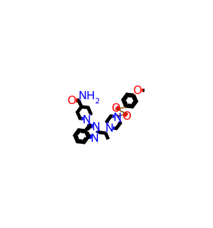 COc1ccc(S(=O)(=O)N2CCN(C(C)c3nc(N4CCC(C(N)=O)CC4)c4ccccc4n3)CC2)cc1